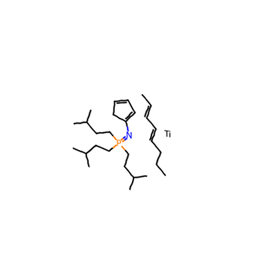 CC(C)CCP(CCC(C)C)(CCC(C)C)=NC1=CC=CC1.CC=CC=CCCC.[Ti]